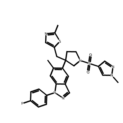 Cc1ncc(CC2(c3cc4cnn(-c5ccc(F)cc5)c4cc3C)CCN(S(=O)(=O)c3cnn(C)c3)C2)s1